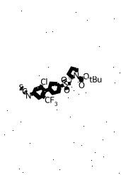 CC(C)(C)OC(=O)N1CCC[C@H]1CS(=O)(=O)c1ccc(-c2c(Cl)cc(N=C=S)cc2C(F)(F)F)cc1